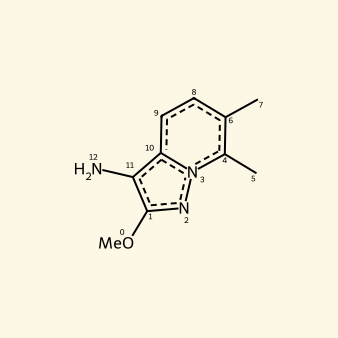 COc1nn2c(C)c(C)ccc2c1N